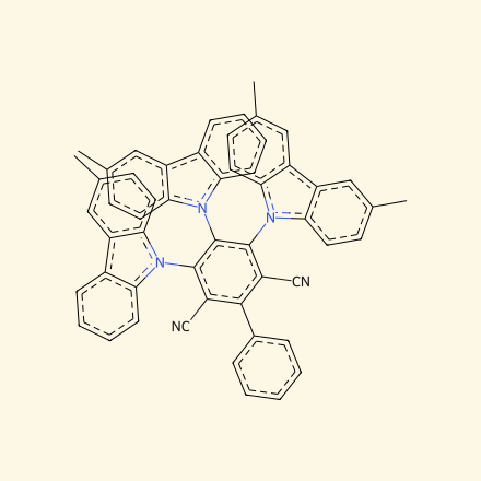 Cc1ccc2c(c1)c1ccccc1n2-c1c(C#N)c(-c2ccccc2)c(C#N)c(-n2c3ccc(C)cc3c3cc(C)ccc32)c1-n1c2ccccc2c2cc(C)ccc21